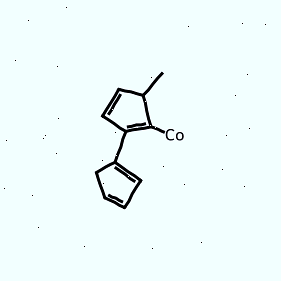 CC1C=CC(C2=CC=CC2)=[C]1[Co]